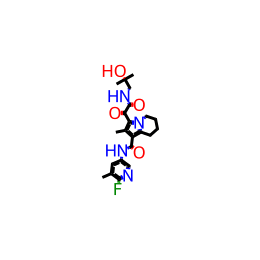 Cc1cc(NC(=O)c2c(C)c(C(=O)C(=O)NCC(C)(C)O)n3c2CCCC3)cnc1F